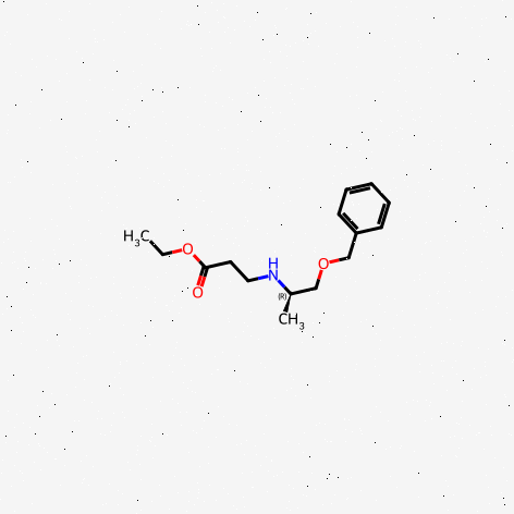 CCOC(=O)CCN[C@H](C)COCc1ccccc1